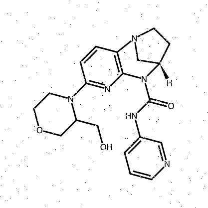 O=C(Nc1cccnc1)N1c2nc(N3CCOCC3CO)ccc2N2CC[C@H]1C2